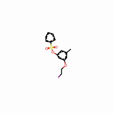 Cc1cc(OCCI)cc(OS(=O)(=O)c2ccccc2)c1